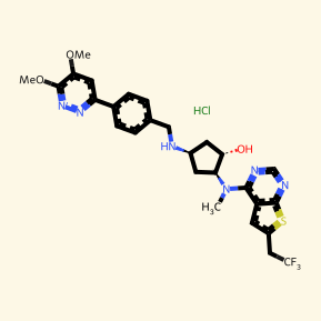 COc1cc(-c2ccc(CN[C@H]3C[C@H](O)[C@@H](N(C)c4ncnc5sc(CC(F)(F)F)cc45)C3)cc2)nnc1OC.Cl